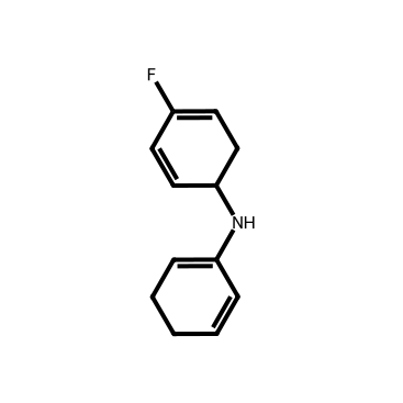 FC1=CCC(NC2=CCCC=C2)C=C1